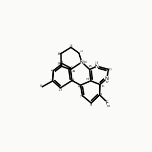 Cc1cccc(-c2ccc(F)c3ncnc(N4CCCCC4)c23)c1